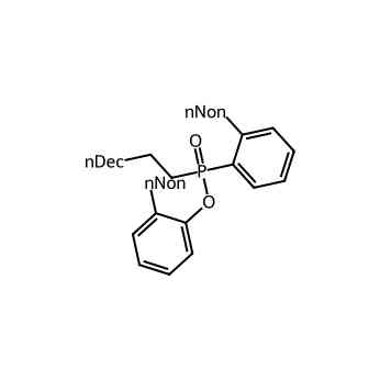 CCCCCCCCCCCCP(=O)(Oc1ccccc1CCCCCCCCC)c1ccccc1CCCCCCCCC